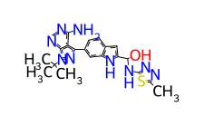 Cc1nnc(NC(O)c2cc3ccc(-c4nn(C(C)(C)C)c5ncnc(N)c45)cc3[nH]2)s1